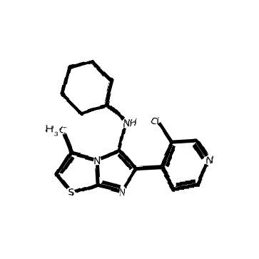 Cc1csc2nc(-c3ccncc3Cl)c(NC3CCCCC3)n12